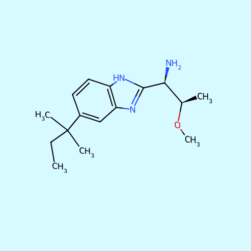 CCC(C)(C)c1ccc2[nH]c([C@@H](N)[C@@H](C)OC)nc2c1